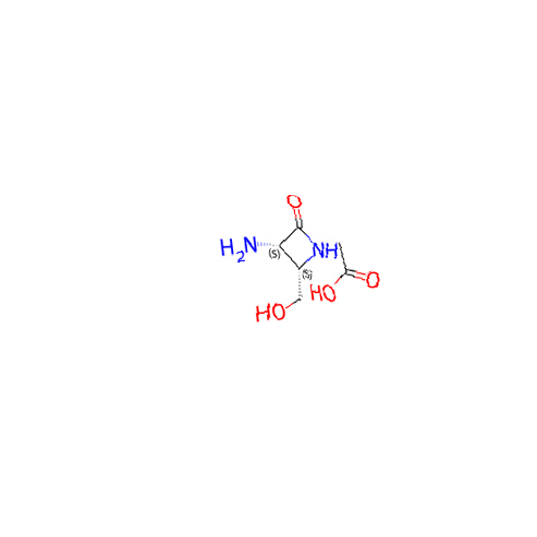 CC(=O)O.N[C@@H]1C(=O)N[C@@H]1CO